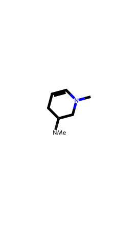 CNC1CC=CN(C)C1